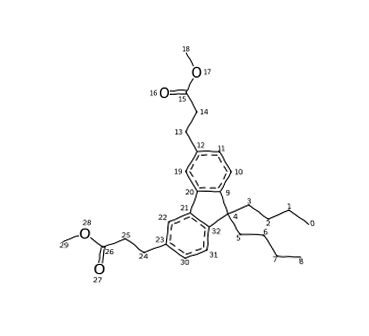 CCCCC1(CCCC)c2ccc(CCC(=O)OC)cc2-c2cc(CCC(=O)OC)ccc21